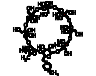 CC(CO)OC1OC2C(CN3CCN(C)CC3)OC(OC3C(CO)OC(OC4C(CO)OC(OC5C(CO)OC(OC6C(CO)OC(OC7C(CO)OC(OC8C(CO)OC(OC(O)C1O)C(O)C8O)C(O)C7O)C(O)C6O)C(O)C5O)C(O)C4O)C(O)C3O)C(O)C2O